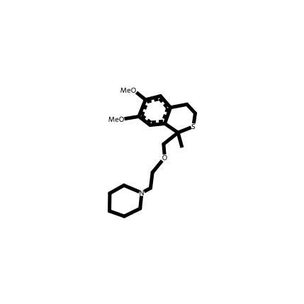 COc1cc2c(cc1OC)C(C)(COCCN1CCCCC1)SCC2